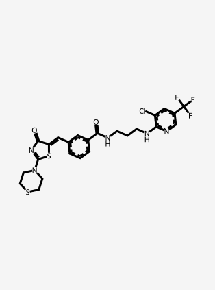 O=C1N=C(N2CCSCC2)SC1=Cc1cccc(C(=O)NCCCNc2ncc(C(F)(F)F)cc2Cl)c1